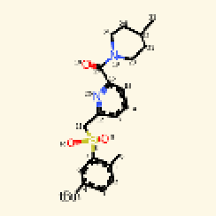 Cc1ccc(C(C)(C)C)cc1S(=O)(=O)Cc1cccc(C(=O)N2CCC(C)CC2)n1